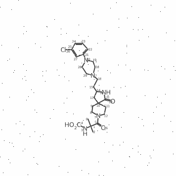 CC(C)(NC(=O)O)C(=O)N1CCC2(CC1)CC(CCN1CCN(c3cccc(Cl)c3)CC1)NC2=O